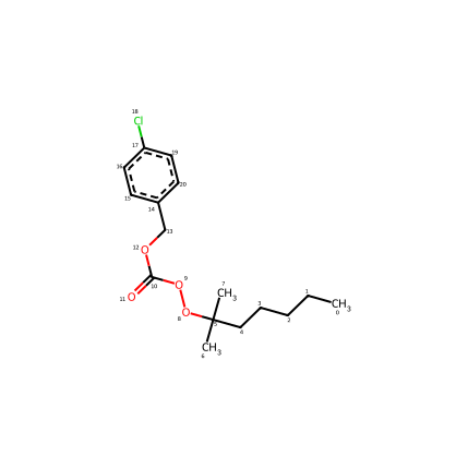 CCCCCC(C)(C)OOC(=O)OCc1ccc(Cl)cc1